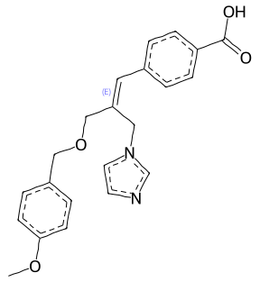 COc1ccc(COC/C(=C/c2ccc(C(=O)O)cc2)Cn2ccnc2)cc1